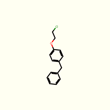 ClCCOc1ccc(Cc2ccccc2)cc1